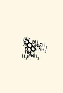 CC(N)Nc1ccc(NC(C)N)c2c1C(=O)c1ccncc1C2=O